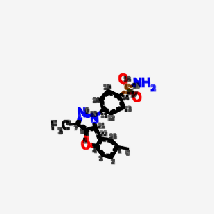 Cc1ccc2oc3c(C(F)(F)F)nn(-c4ccc(S(N)(=O)=O)cc4)c3c2c1